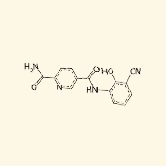 N#Cc1cccc(NC(=O)c2ccc(C(N)=O)nc2)c1O